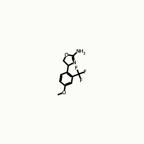 COc1ccc(C2COC(N)=N2)c(C(F)(F)F)c1